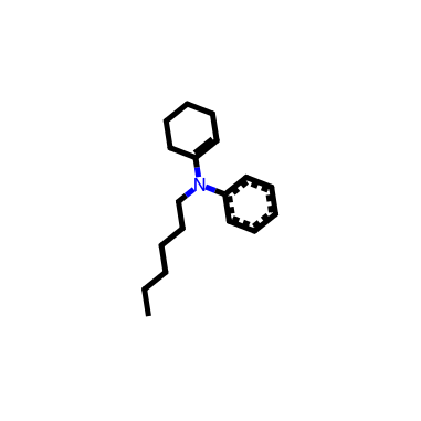 CCCCCCN(C1=CCCCC1)c1ccccc1